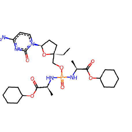 CC[C@@]1(COP(=O)(N[C@@H](C)C(=O)OC2CCCCC2)N[C@@H](C)C(=O)OC2CCCCC2)CC[C@H](n2ccc(N)nc2=O)O1